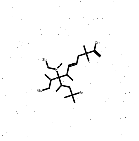 C=C(O)C(C)(C)CC=CC(C)C(C(C)CC(C)(C)C)(C(C)CC(C)(C)C(C)=O)N(C)CC(C)(C)C